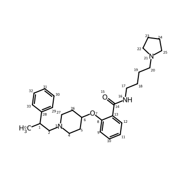 CC(CN1CCC(Oc2ccccc2C(=O)NCCCCN2CCCC2)CC1)c1ccccc1